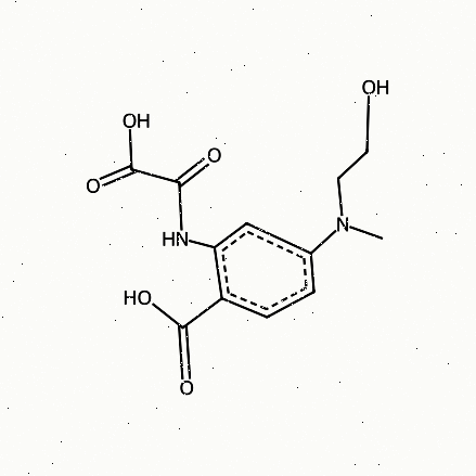 CN(CCO)c1ccc(C(=O)O)c(NC(=O)C(=O)O)c1